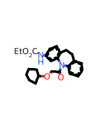 CCOC(=O)Nc1ccc2c(c1)N(C(=O)COC1CCCCC1)c1ccccc1CC2